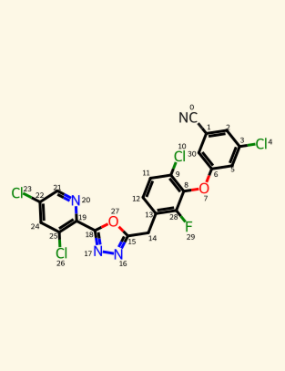 N#Cc1cc(Cl)cc(Oc2c(Cl)ccc(Cc3nnc(-c4ncc(Cl)cc4Cl)o3)c2F)c1